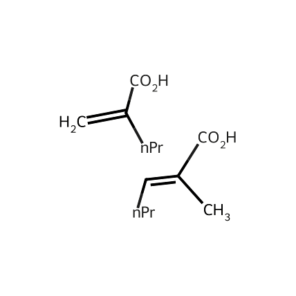 C=C(CCC)C(=O)O.CCCC=C(C)C(=O)O